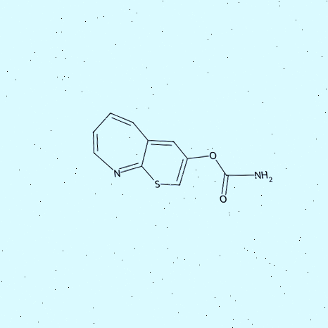 NC(=O)OC1=CSC2=NC=CC=CC2=C1